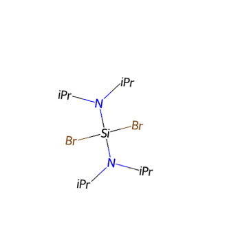 CC(C)N(C(C)C)[Si](Br)(Br)N(C(C)C)C(C)C